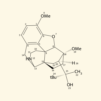 COc1ccc2c3c1OC1C34CCNC(C2)[C@]42CC[C@@]1(OC)[C@@H]([C@@](C)(O)C(C)(C)C)C2